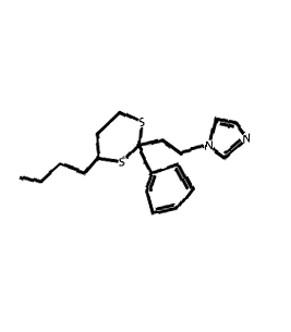 CCCCC1CCSC(CCn2ccnc2)(c2ccccc2)S1